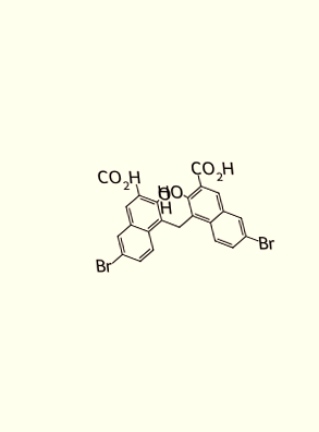 O=C(O)c1cc2cc(Br)ccc2c(Cc2c(O)c(C(=O)O)cc3cc(Br)ccc23)c1O